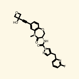 CN1C(=O)[C@@H](NC(=O)n2cc(Cc3cccc(F)n3)cn2)COc2ccc(C#CC3(O)COC3)cc21